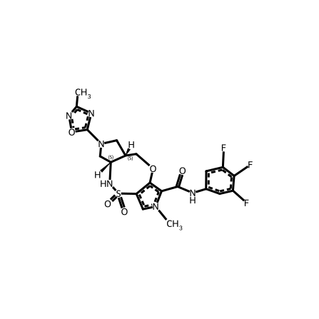 Cc1noc(N2C[C@@H]3COc4c(cn(C)c4C(=O)Nc4cc(F)c(F)c(F)c4)S(=O)(=O)N[C@@H]3C2)n1